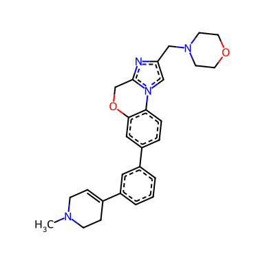 CN1CC=C(c2cccc(-c3ccc4c(c3)OCc3nc(CN5CCOCC5)cn3-4)c2)CC1